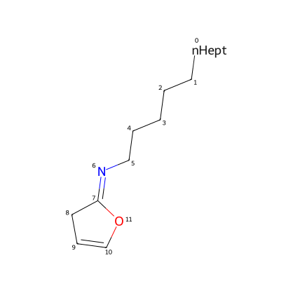 CCCCCCCCCCCCN=C1CC=CO1